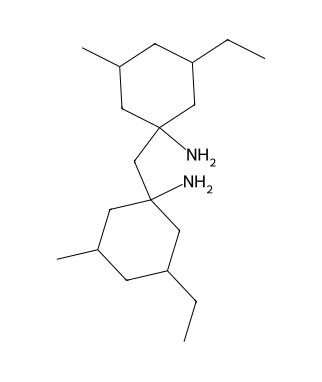 CCC1CC(C)CC(N)(CC2(N)CC(C)CC(CC)C2)C1